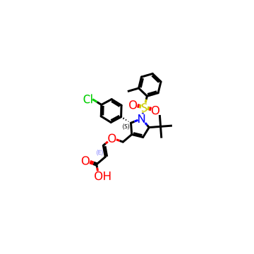 Cc1ccccc1S(=O)(=O)N1C(C(C)(C)C)C=C(CO/C=C/C(=O)O)[C@@H]1c1ccc(Cl)cc1